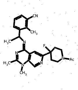 CC(=O)N1CCC(F)(c2cc3c(=NC(C)c4cccc(C#N)c4C)nc(C)n(C)c3cn2)CC1